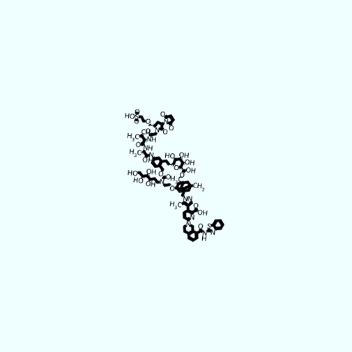 Cc1c(-c2ccc(N3CCc4cccc(C(=O)Nc5nc6ccccc6s5)c4C3)nc2C(=O)O)cnn1CC12CC3(C)CC(C)(C1)CC(OCCN(CC[C@@H](O)[C@H](O)[C@H](O)CO)C(=O)OCc1ccc(NC(=O)[C@H](C)NC(=O)[C@@H](NC(=O)CN4C(=O)C(N5C(=O)C=CC5=O)C[C@H]4COCCS(=O)(=O)O)C(C)C)cc1CC[C@@H]1O[C@H](C(=O)O)[C@@H](O)[C@H](O)[C@H]1O)(C3)C2